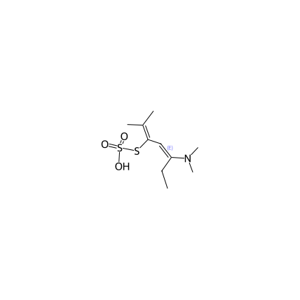 CC/C(=C\C(SS(=O)(=O)O)=C(C)C)N(C)C